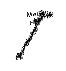 CCOP(=O)(F)CCOCCOCCOCCOCCOCCOCCOCCOC/C(=C/NCc1cc(OC)c(OC)c(OC)c1)N=N